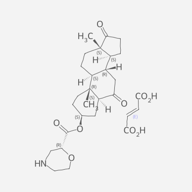 C[C@]12CC[C@H](OC(=O)[C@H]3CNCCO3)C[C@@H]1C(=O)C[C@@H]1[C@@H]2CC[C@]2(C)C(=O)CC[C@@H]12.O=C(O)/C=C/C(=O)O